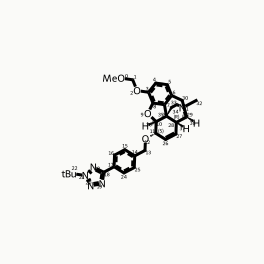 COCOc1ccc2c3c1O[C@H]1[C@@H](OCc4ccc(-c5nnn(C(C)(C)C)n5)cc4)C=C[C@H]4[C@@H](C2)N(C)CC[C@@]341